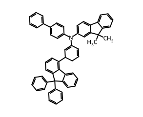 CC1(C)c2ccccc2-c2ccc(N(C3=CC(c4cccc5c4-c4ccccc4C5(c4ccccc4)c4ccccc4)CC=C3)c3ccc(-c4ccccc4)cc3)cc21